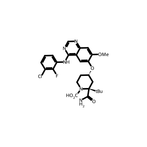 COc1cc2ncnc(Nc3cccc(Cl)c3F)c2cc1O[C@H]1CCN(C(=O)O)[C@](C(N)=O)(C(C)(C)C)C1